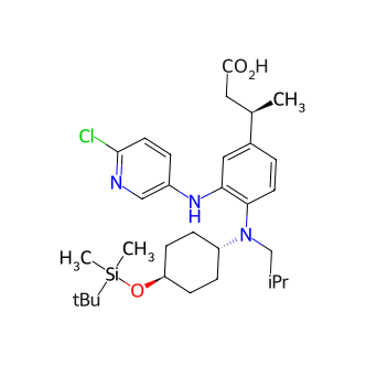 CC(C)CN(c1ccc([C@H](C)CC(=O)O)cc1Nc1ccc(Cl)nc1)[C@H]1CC[C@H](O[Si](C)(C)C(C)(C)C)CC1